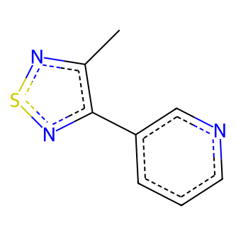 Cc1nsnc1-c1cccnc1